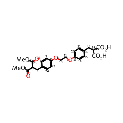 COC(=O)C(Cc1ccc(OCCOc2ccc(CC(C(=O)O)C(=O)O)cc2)cc1)C(=O)OC